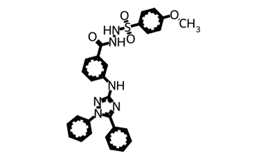 COc1ccc(S(=O)(=O)NNC(=O)c2cccc(Nc3nc(-c4ccccc4)n(-c4ccccc4)n3)c2)cc1